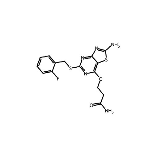 NC(=O)CCOc1nc(SCc2ccccc2F)nc2nc(N)sc12